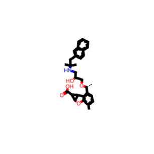 Cc1ccc([C@@H](C)OCC(O)CNC(C)(C)Cc2ccc3ccccc3c2)c2c1OC1C(C(=O)O)C21